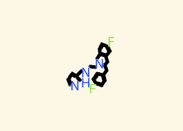 Fc1ccc(CC2Cc3cc(F)ccc3CN2CCNCc2cccnc2)cc1